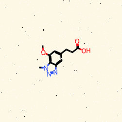 COc1cc(CCC(=O)O)cc2nnn(C)c12